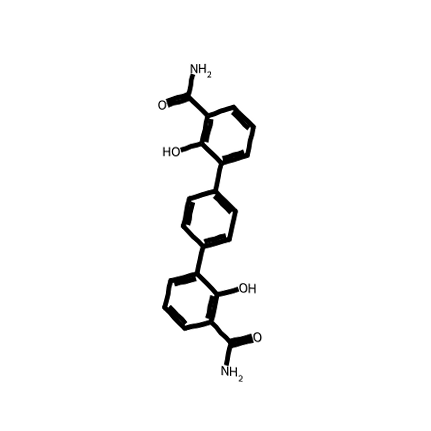 NC(=O)c1cccc(-c2ccc(-c3cccc(C(N)=O)c3O)cc2)c1O